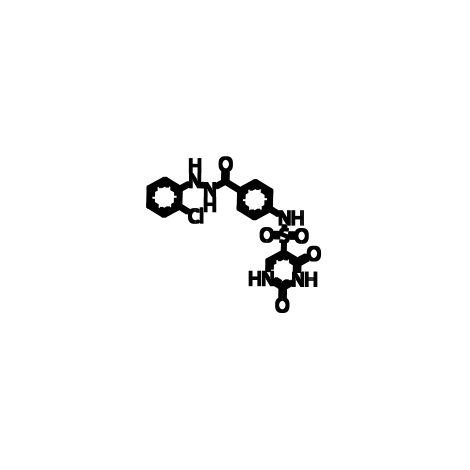 O=C(NNc1ccccc1Cl)c1ccc(NS(=O)(=O)c2c[nH]c(=O)[nH]c2=O)cc1